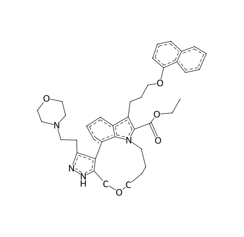 CCOC(=O)c1c(CCCOc2cccc3ccccc23)c2cccc3c2n1CCCCOCc1[nH]nc(CCN2CCOCC2)c1-3